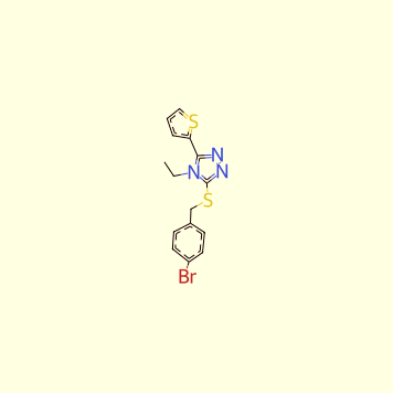 CCn1c(SCc2ccc(Br)cc2)nnc1-c1cccs1